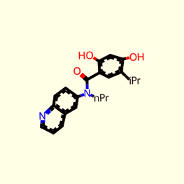 CCCN(C(=O)c1cc(C(C)C)c(O)cc1O)c1ccc2ncccc2c1